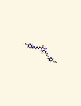 CCCCc1ccc(CNCCCCC2NC(=O)C(CCCCNCc3ccc(CCCC)cn3)NC2=O)nc1